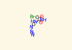 CN1CCN(CCN(C)c2ccc(N/C=C3/C(=O)NC(=O)c4ccc(Br)cc43)cc2)CC1